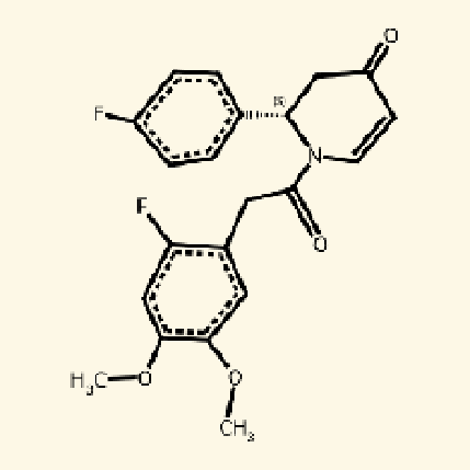 COc1cc(F)c(CC(=O)N2C=CC(=O)C[C@H]2c2ccc(F)cc2)cc1OC